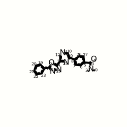 CN(C)C(=O)c1ccc(-c2cncc(-c3nnc(-c4ccccc4)o3)n2)cc1